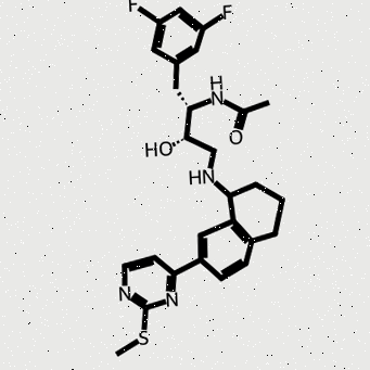 CSc1nccc(-c2ccc3c(c2)C(NC[C@H](O)[C@H](Cc2cc(F)cc(F)c2)NC(C)=O)CCC3)n1